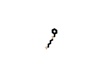 [S]CCCCCSCc1ccccc1